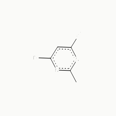 CCc1cc(Cl)nc(C)n1